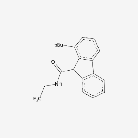 CCCCc1cccc2c1C(C(=O)NCC(F)(F)F)c1ccccc1-2